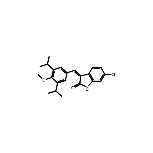 COc1c(C(C)C)cc(/C=C2\C(=O)Nc3cc(Cl)ccc32)cc1C(C)C